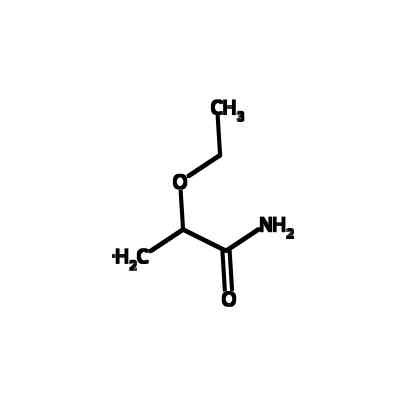 [CH2]C(OCC)C(N)=O